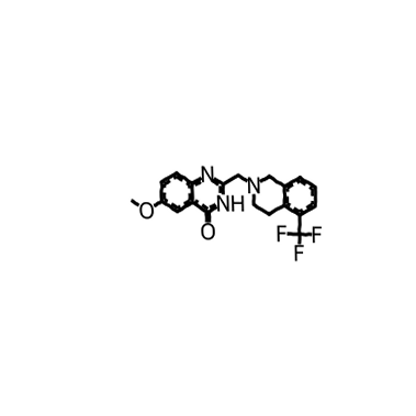 COc1ccc2nc(CN3CCc4c(cccc4C(F)(F)F)C3)[nH]c(=O)c2c1